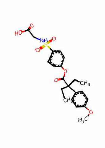 CCC(CC)(C(=O)Oc1ccc(S(=O)(=O)NCC(=O)O)cc1)c1ccc(OC)cc1